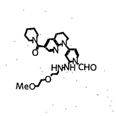 COCCOCCNNC1C=C(N2CCCc3cc(C(=O)N4CCCCC4)cnc32)C=CN1C=O